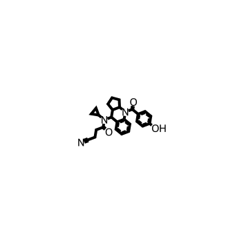 N#CCCC(=O)N(C1CC1)C1c2ccccc2N(C(=O)c2ccc(O)cc2)C2CCCC21